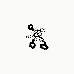 CC[C@H](O)[C@H]1OC(COCc2ccccc2)[C@@H](OCc2ccccc2)C(O)C1OCc1ccccc1